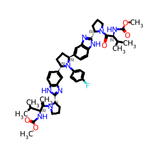 C=C([C@@H](NC(=O)OC)C(C)C)N1CCC[C@H]1c1nc2cc([C@@H]3CC[C@@H](c4ccc5[nH]c([C@@H]6CCCN6C(=O)[C@@H](NC(=O)OC)C(C)C)nc5c4)N3c3ccc(F)cc3)ccc2[nH]1